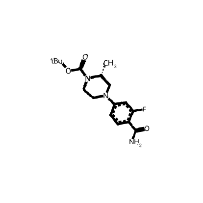 C[C@@H]1CN(c2ccc(C(N)=O)c(F)c2)CCN1C(=O)OC(C)(C)C